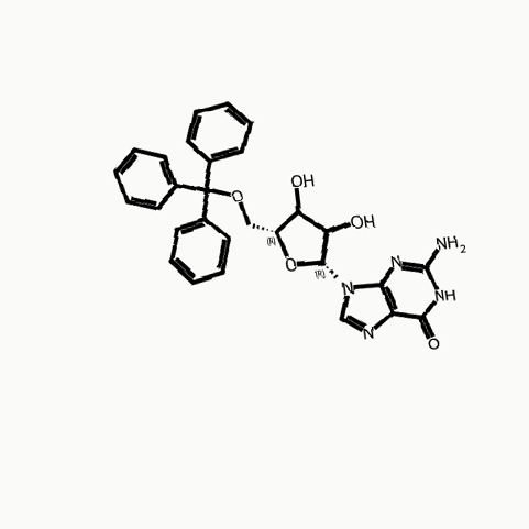 Nc1nc2c(ncn2[C@@H]2O[C@H](COC(c3ccccc3)(c3ccccc3)c3ccccc3)C(O)C2O)c(=O)[nH]1